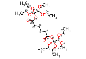 CCOC(OC)C(OCC)(OCC)OC(=O)CCCCC(=O)OC(OCC)(OCC)C(OC)OCC